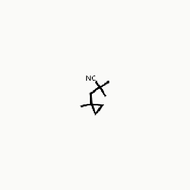 CC(C)(C#N)CC1(C)CC1